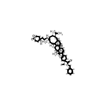 C=C(C)[C@@H]1CC[C@](C)(NCCC2(O)CCS(=O)(=O)CC2)CC[C@]2(C)[C@H](CC[C@@H]3[C@@]4(C)CC=C(C5=CC[C@](CF)(C(=O)OCc6ccccc6)CC5)C(C)(C)[C@@H]4CC[C@]32C)C1